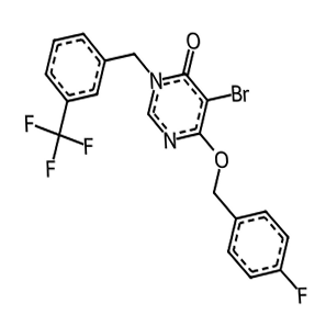 O=c1c(Br)c(OCc2ccc(F)cc2)ncn1Cc1cccc(C(F)(F)F)c1